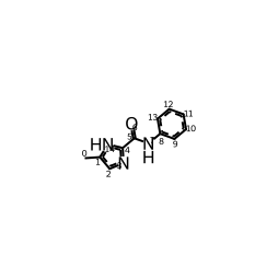 Cc1cnc(C(=O)Nc2ccccc2)[nH]1